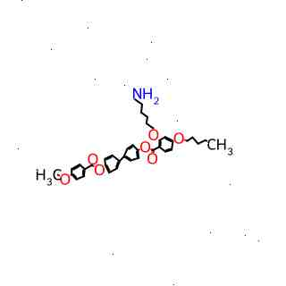 CCCCCOc1ccc(C(=O)Oc2ccc(-c3ccc(OC(=O)c4ccc(OC)cc4)cc3)cc2)c(OCCCCCCN)c1